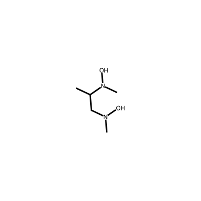 CC(CN(C)O)N(C)O